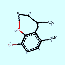 COc1ccc(Br)c2c1C(C#N)CCO2